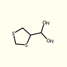 OC(O)C1CSCS1